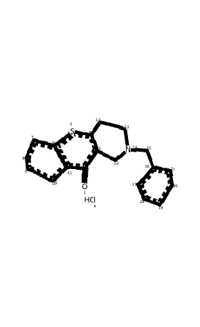 Cl.O=c1c2c(sc3ccccc13)CCN(Cc1ccccc1)C2